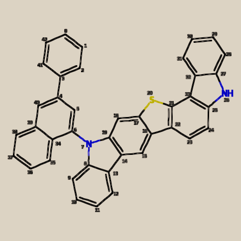 c1ccc(-c2cc(-n3c4ccccc4c4cc5c(cc43)sc3c5ccc4[nH]c5ccccc5c43)c3ccccc3c2)cc1